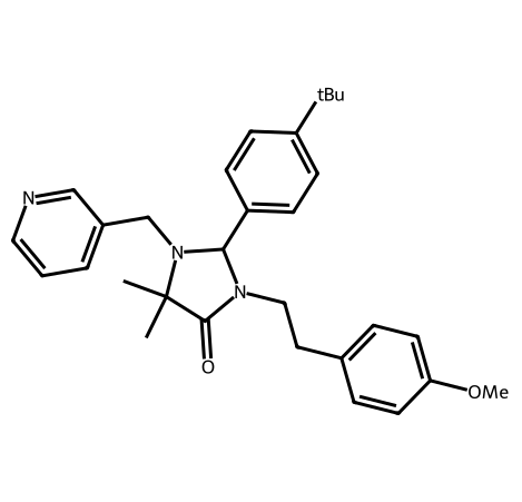 COc1ccc(CCN2C(=O)C(C)(C)N(Cc3cccnc3)C2c2ccc(C(C)(C)C)cc2)cc1